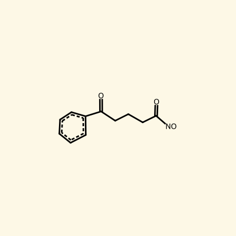 O=NC(=O)CCCC(=O)c1ccccc1